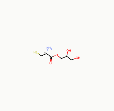 N[C@@H](CS)C(=O)OCC(O)CO